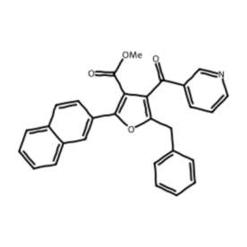 COC(=O)c1c(-c2ccc3ccccc3c2)oc(Cc2ccccc2)c1C(=O)c1cccnc1